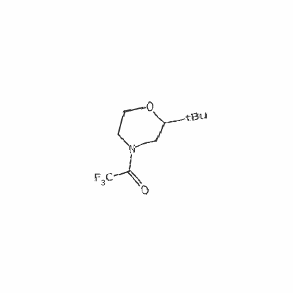 CC(C)(C)C1CN(C(=O)C(F)(F)F)CCO1